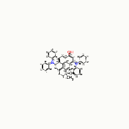 CC1(C)CCc2cc(N(c3ccccc3)c3ccccc3)c3ccc4c(O)cc(N(c5ccccc5)c5ccccc5)c5cc1c2c3c45